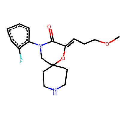 COCCC=C1OC2(CCNCC2)CN(c2ccccc2F)C1=O